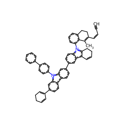 C#C/C=C\C1=C(C)c2c(cccc2-n2c3c(c4cc(-c5ccc6c7ccc(C8=CCCC=C8)cc7n(-c7ccc(-c8ccccc8)cc7)c6c5)ccc42)C=CCC3)CC1